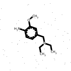 CCN(CC)Cc1ccc(N)c(OC)c1